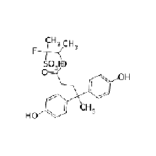 CC(OC(=O)CCC(C)(c1ccc(O)cc1)c1ccc(O)cc1)C(C)(F)S(=O)(=O)O